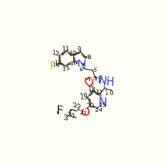 CC(NC(=O)CCn1ccc2ccc(F)cc21)c1ccc(OCC(F)(F)F)cn1